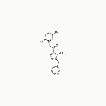 Cc1c(C(=O)Cn2cc(Br)ccc2=O)cnn1Cc1cccnc1